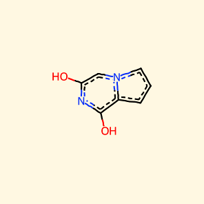 Oc1cn2cccc2c(O)n1